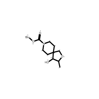 CC1OCC2(CCN(C(=O)OC(C)(C)C)CC2)C1O